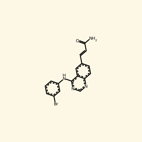 NC(=O)C=Cc1ccc2ncnc(Nc3cccc(Br)c3)c2c1